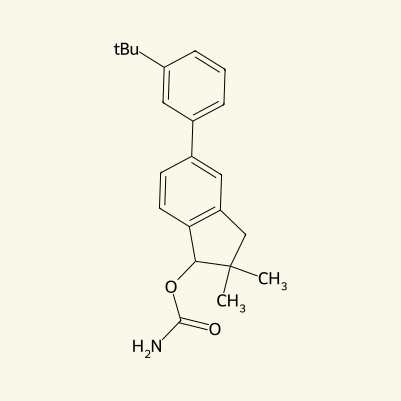 CC(C)(C)c1cccc(-c2ccc3c(c2)CC(C)(C)C3OC(N)=O)c1